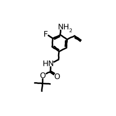 C=Cc1cc(CNC(=O)OC(C)(C)C)cc(F)c1N